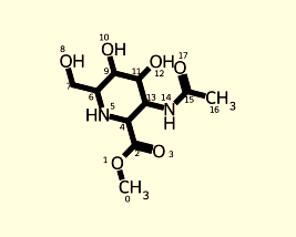 COC(=O)C1NC(CO)C(O)C(O)C1NC(C)=O